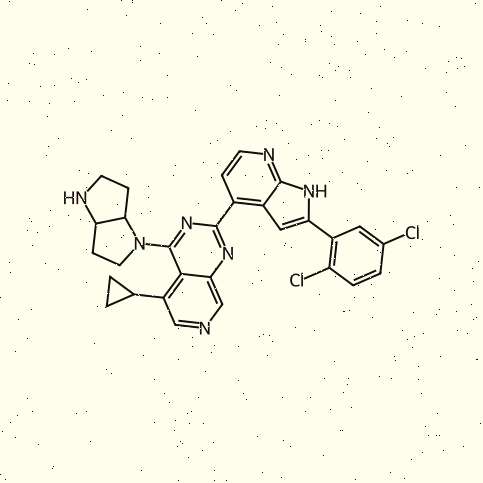 Clc1ccc(Cl)c(-c2cc3c(-c4nc(N5CCC6NCCC65)c5c(C6CC6)cncc5n4)ccnc3[nH]2)c1